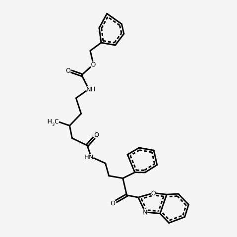 CC(CCNC(=O)OCc1ccccc1)CC(=O)NCCC(C(=O)c1nc2ccccc2o1)c1ccccc1